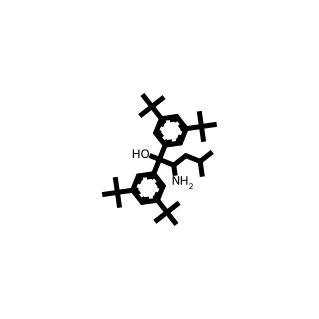 CC(C)CC(N)C(O)(c1cc(C(C)(C)C)cc(C(C)(C)C)c1)c1cc(C(C)(C)C)cc(C(C)(C)C)c1